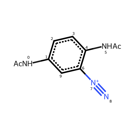 CC(=O)Nc1ccc(NC(C)=O)c([N+]#N)c1